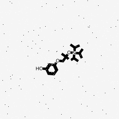 CC(C)[Si](OC(C)(C)COc1cccc(O)c1)(C(C)C)C(C)C